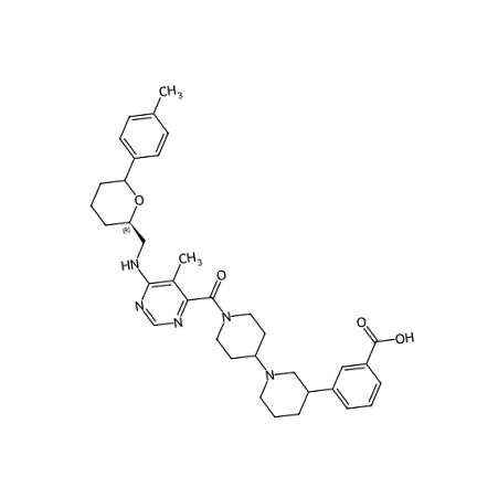 Cc1ccc(C2CCC[C@H](CNc3ncnc(C(=O)N4CCC(N5CCCC(c6cccc(C(=O)O)c6)C5)CC4)c3C)O2)cc1